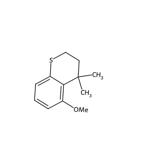 COc1cccc2c1C(C)(C)CCS2